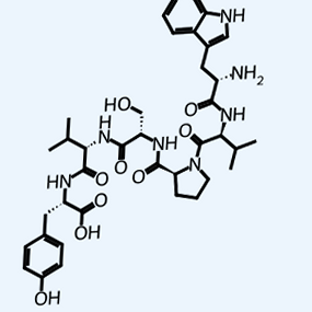 CC(C)[C@H](NC(=O)[C@H](CO)NC(=O)[C@@H]1CCCN1C(=O)[C@@H](NC(=O)[C@@H](N)Cc1c[nH]c2ccccc12)C(C)C)C(=O)N[C@@H](Cc1ccc(O)cc1)C(=O)O